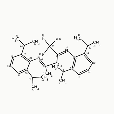 CC(CC(=Nc1c(C(C)C)cccc1C(C)C)C(F)(F)F)=Nc1c(C(C)C)cccc1C(C)C